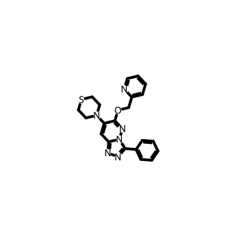 c1ccc(-c2nnc3cc(N4CCSCC4)c(OCc4ccccn4)nn23)cc1